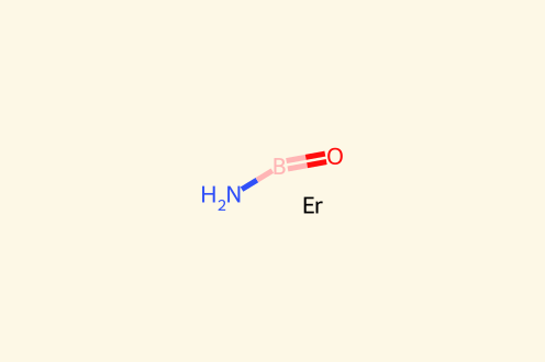 NB=O.[Er]